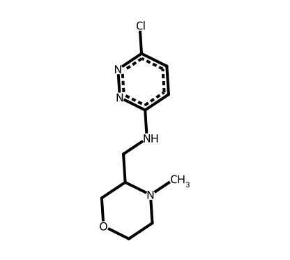 CN1CCOCC1CNc1ccc(Cl)nn1